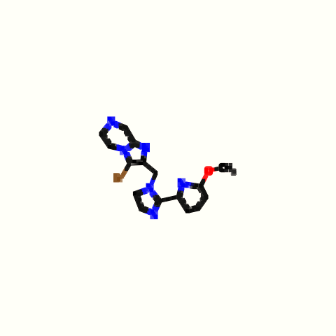 COc1cccc(-c2nccn2Cc2nc3cnccn3c2Br)n1